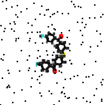 O=C(c1ccc(F)cc1)c1ccc(Sc2ccc(C(=O)c3ccc(F)cc3)cc2)cc1